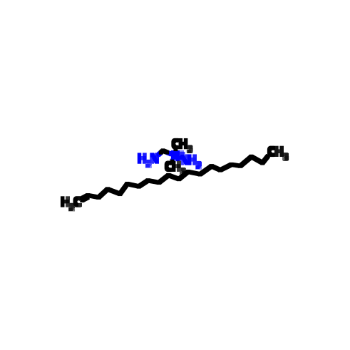 C=CCCCCCCCCCCCCCCCCCC.C[N+](C)(N)CN